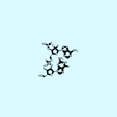 Nc1nc2c(ncn2[C@@H]2O[C@H](CO)[C@@H](F)[C@H]2OP(O)(=S)OC[C@H]2O[C@@H](n3nnc4c(N)ncnc43)C(F)(F)[C@@H]2O[PH](O)=S)c(=O)[nH]1